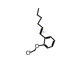 CCCC/C=C/c1ccccc1OCCl